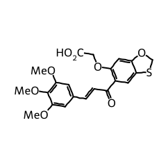 COc1cc(/C=C/C(=O)c2cc3c(cc2OCC(=O)O)OCS3)cc(OC)c1OC